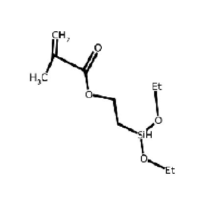 C=C(C)C(=O)OCC[SiH](OCC)OCC